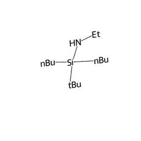 CCCC[Si](CCCC)(NCC)C(C)(C)C